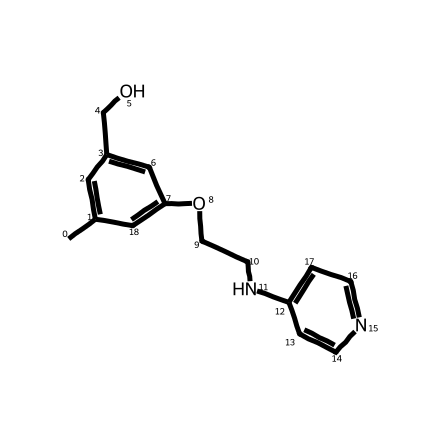 Cc1cc(CO)cc(OCCNc2ccncc2)c1